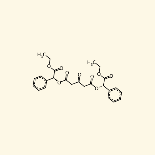 CCOC(=O)[C@@H](OC(=O)CC(=O)CC(=O)O[C@H](C(=O)OCC)c1ccccc1)c1ccccc1